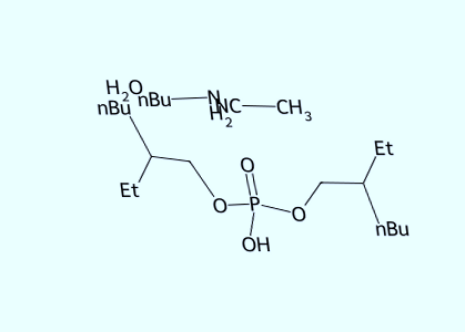 CC#N.CCCCC(CC)COP(=O)(O)OCC(CC)CCCC.CCCCN.O